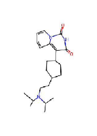 CC(C)N(CCC1CCC(c2c(=O)[nH]c(=O)n3ccccc23)CC1)C(C)C